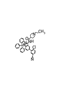 CCCN1CCC(C(=O)Nc2nn(C(c3ccccc3)(c3ccccc3)c3ccccc3)c3ccc(-c4cc(C#N)ccc4Cl)cc23)CC1